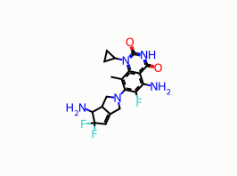 Cc1c(N2CC3=CC(F)(F)C(N)C3C2)c(F)c(N)c2c(=O)[nH]c(=O)n(C3CC3)c12